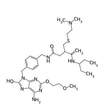 C=C(NC(CC)CC)C(CSCCN(C)C)CC(=O)NCc1ccc(Cn2c(O)nc3c(N)nc(OCCOC)nc32)cc1